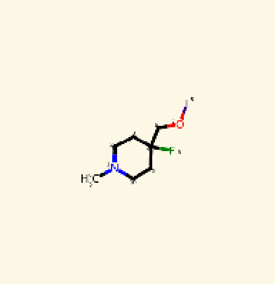 CN1CCC(F)(COI)CC1